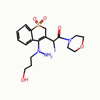 NN(CCCO)C1=C(C(I)C(=O)N2CCOCC2)CS(=O)(=O)c2ccccc21